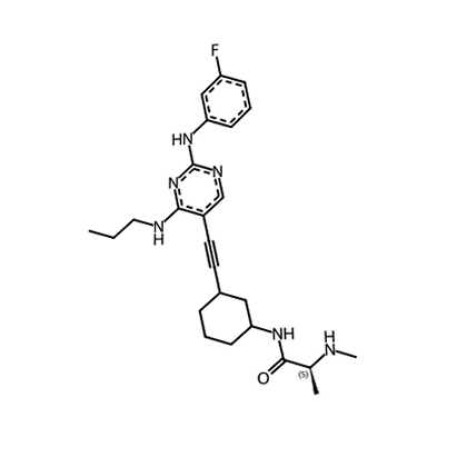 CCCNc1nc(Nc2cccc(F)c2)ncc1C#CC1CCCC(NC(=O)[C@H](C)NC)C1